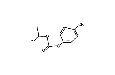 CC(Cl)OC(=O)Oc1ccc(C(F)(F)F)cc1